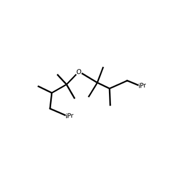 CC(C)CC(C)C(C)(C)OC(C)(C)C(C)CC(C)C